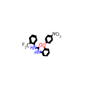 O=C(Nc1ccccc1Oc1ccc([N+](=O)[O-])cc1)Nc1ccccc1C(F)(F)F